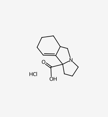 Cl.O=C(O)C12CCCN1CC1CCCC=C12